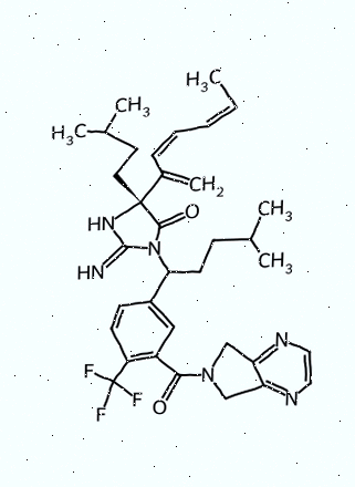 C=C(/C=C\C=C/C)[C@@]1(CCC(C)C)NC(=N)N(C(CCC(C)C)c2ccc(C(F)(F)F)c(C(=O)N3Cc4nccnc4C3)c2)C1=O